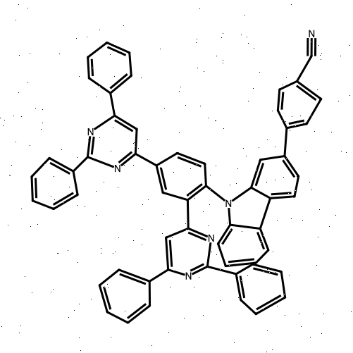 N#Cc1ccc(-c2ccc3c4ccccc4n(-c4ccc(-c5cc(-c6ccccc6)nc(-c6ccccc6)n5)cc4-c4cc(-c5ccccc5)nc(-c5ccccc5)n4)c3c2)cc1